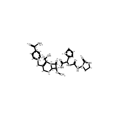 CO[C@]1(NC(=O)C(NC(=O)NN2CCNC2=O)c2cccs2)C(=O)N2C(C(=O)O)=C(C[n+]3ccc(C(N)=O)cc3)CSC21